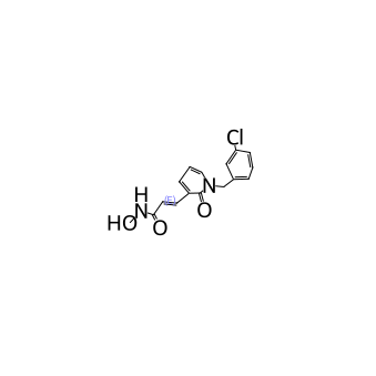 O=C(/C=C/c1cccn(Cc2cccc(Cl)c2)c1=O)NO